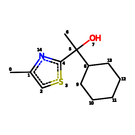 Cc1csc(C(C)(O)C2CCCCC2)n1